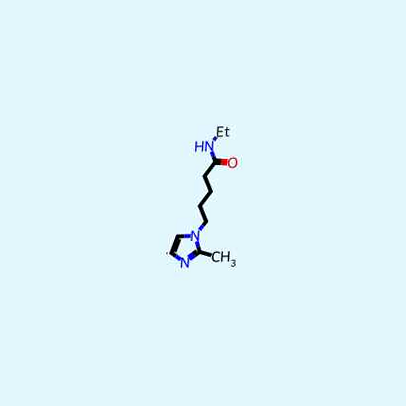 CCNC(=O)CCCCn1c[c]nc1C